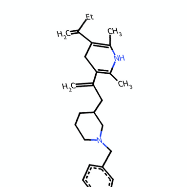 C=C(CC)C1=C(C)NC(C)=C(C(=C)CC2CCCN(Cc3ccccc3)C2)C1